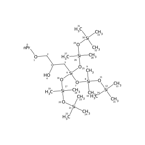 [CH2]CCOCC(O)C[Si](O[Si](C)(C)O[Si](C)(C)C)(O[Si](C)(C)O[Si](C)(C)C)O[Si](C)(C)O[Si](C)(C)C